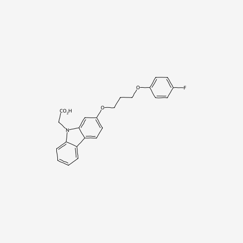 O=C(O)Cn1c2ccccc2c2ccc(OCCCOc3ccc(F)cc3)cc21